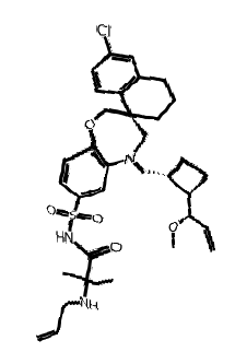 C=CCNC(C)(C)C(=O)NS(=O)(=O)c1ccc2c(c1)N(C[C@@H]1CC[C@H]1[C@@H](C=C)OC)C[C@@]1(CCCc3cc(Cl)ccc31)CO2